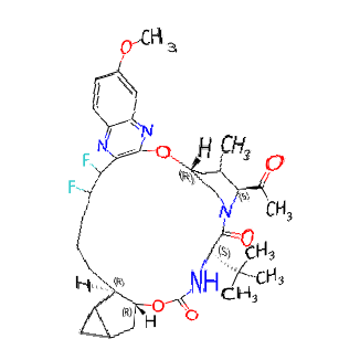 COc1ccc2nc3c(nc2c1)O[C@H]1CN(C(=O)[C@H](C(C)(C)C)NC(=O)O[C@@H]2CC4CC4[C@H]2CCCC(F)C3F)[C@H](C(C)=O)C1C